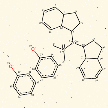 C[SiH](C)[Zr+2]([CH]1CCC2C=CC=CC21)[CH]1CCC2C=CC=CC21.[O-]c1ccccc1.[O-]c1ccccc1